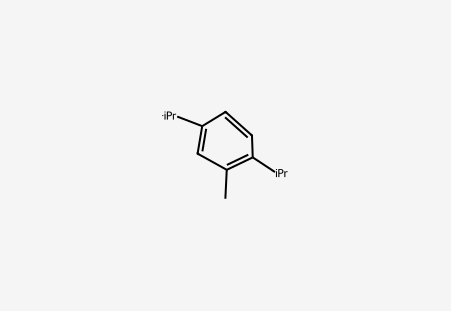 C[C](C)c1ccc(C(C)C)c(C)c1